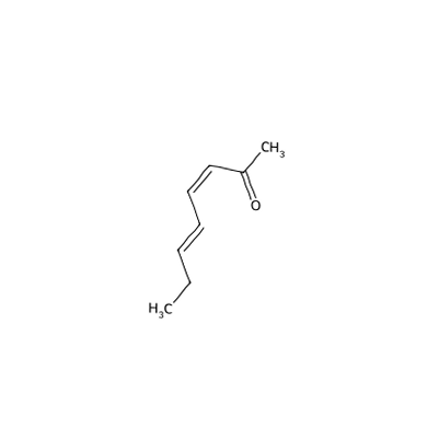 CC/C=C/C=C\C(C)=O